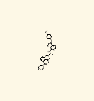 COc1ccc(Cn2cnc3c(N[C@@H](C)c4cc5cccc(C(=O)N6CCOCC6)c5c(C)n4)ncnc32)cc1